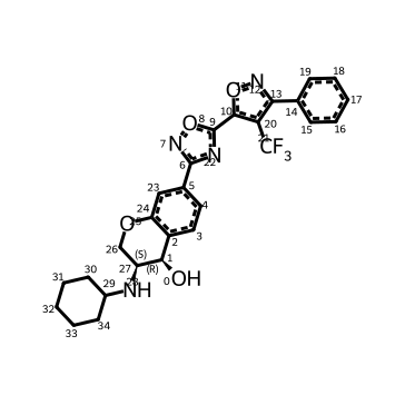 O[C@@H]1c2ccc(-c3noc(-c4onc(-c5ccccc5)c4C(F)(F)F)n3)cc2OC[C@@H]1NC1CCCCC1